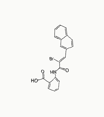 O=C(Nc1ccccc1C(=O)O)C(Br)=Cc1ccc2ccccc2c1